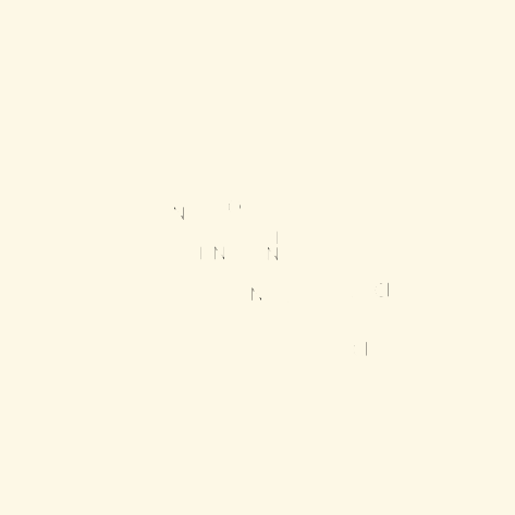 CC(C)N(C(=O)Nc1nc2cc(Cl)c(Cl)cc2[nH]1)C(C)C